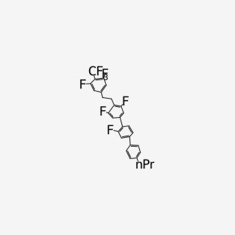 CCCc1ccc(-c2ccc(-c3cc(F)c(CCc4cc(F)c(C(F)(F)F)c(F)c4)c(F)c3)c(F)c2)cc1